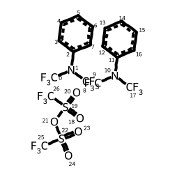 FC(F)(F)N(c1ccccc1)C(F)(F)F.FC(F)(F)N(c1ccccc1)C(F)(F)F.O=S(=O)(OS(=O)(=O)C(F)(F)F)C(F)(F)F